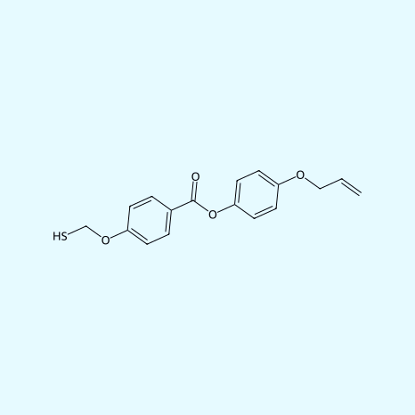 C=CCOc1ccc(OC(=O)c2ccc(OCS)cc2)cc1